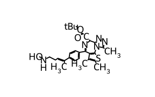 C/C(=C\CCNO)c1ccc(C2=NC(CC(=O)OC(C)(C)C)c3nnc(C)n3-c3sc(C)c(C)c32)cc1